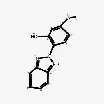 CNc1ccc(-n2nc3ccccc3n2)c(O)c1